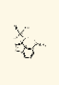 COc1cccc2[nH]cc(SC(F)(F)F)c12